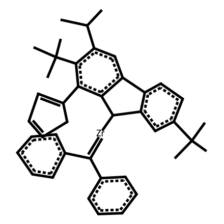 CC(C)c1cc2c(c(C3=CC=CC3)c1C(C)(C)C)[CH]([Zr]=[C](c1ccccc1)c1ccccc1)c1cc(C(C)(C)C)ccc1-2